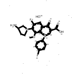 COc1c(N2CCC(N)C2)c(F)cc2c(=O)c(C(=O)O)cn(-c3ccc(F)cc3)c12.Cl